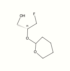 OC[C@H](CF)OC1CCCCO1